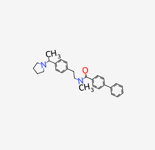 CC(c1ccc(CCN(C)C(=O)c2ccc(-c3ccccc3)cc2)cc1)N1CCCC1